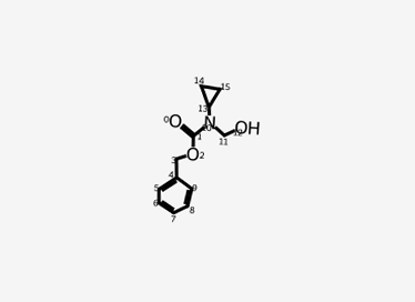 O=C(OCc1ccccc1)N(CO)C1CC1